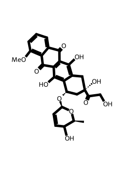 COc1cccc2c1C(=O)c1c(O)c3c(c(O)c1C2=O)C[C@@](O)(C(=O)CO)C[C@@H]3O[C@@H]1C=CC(O)[C@H](C)O1